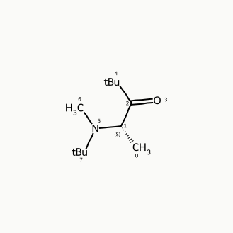 C[C@@H](C(=O)C(C)(C)C)N(C)C(C)(C)C